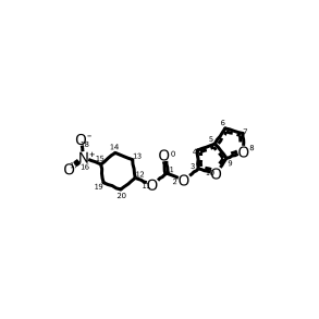 O=C(Oc1cc2ccoc2o1)OC1CCC([N+](=O)[O-])CC1